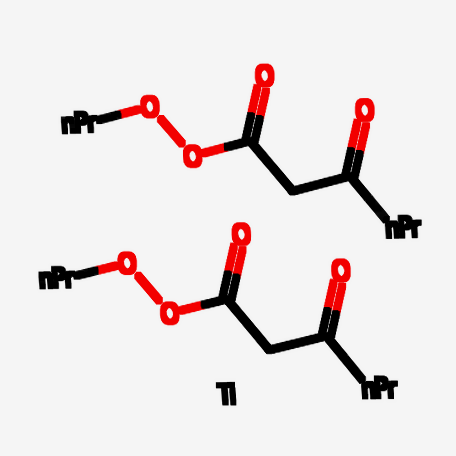 CCCOOC(=O)CC(=O)CCC.CCCOOC(=O)CC(=O)CCC.[Ti]